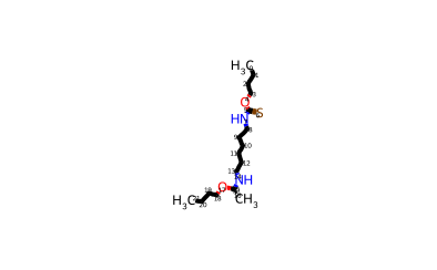 CCCCOC(=S)NCCCCCCN[C@@H](C)OCCCC